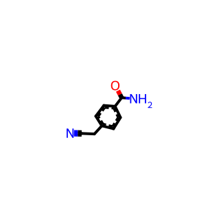 N#CCc1ccc(C(N)=O)cc1